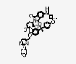 CC(C)(c1ccc(OCc2ccnc(N3CCOCC3)n2)cc1)c1ccc(O[C@]2(C)C[C@@H](Nc3ccc4c(c3)C(=O)N(C3CCC(=O)NC3=O)C4=O)C2)cc1